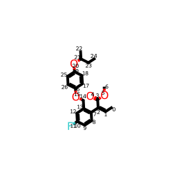 CC=C(C(=O)OC)c1ccc(F)cc1COc1ccc(OC(C)CC)cc1